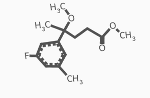 COC(=O)CCC(C)(OC)c1cc(C)cc(F)c1